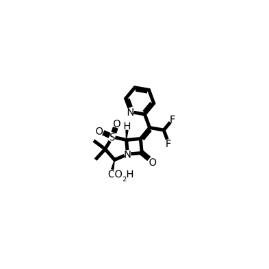 CC1(C)[C@H](C(=O)O)N2C(=O)/C(=C(/c3ccccn3)C(F)F)[C@H]2S1(=O)=O